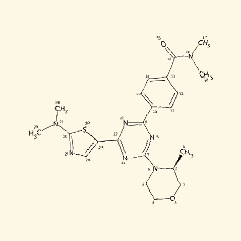 C[C@H]1COCCN1c1nc(-c2ccc(C(=O)N(C)C)cc2)nc(-c2cnc(N(C)C)s2)n1